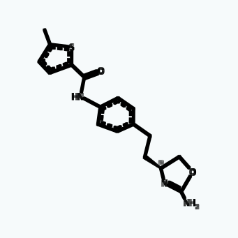 Cc1ccc(C(=O)Nc2ccc(CC[C@H]3COC(N)=N3)cc2)s1